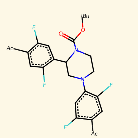 CC(=O)c1cc(F)c(C2CN(c3cc(F)c(C(C)=O)cc3F)CCN2C(=O)OC(C)(C)C)cc1F